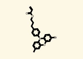 C=CC(=O)OCCCc1ccc(N2c3ccc(C)cc3Oc3cc(Br)ccc32)cc1